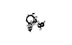 CC[C@H]1CC(=O)N2C[C@H](Oc3ncc(OC)c4ccc(F)cc34)C[C@H]2C(=O)N[C@]2(C(=O)NS(=O)(=O)C3(C)CC3)CC2/C=C\CC[C@@H](C)C1